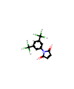 O=C1C=CC(=O)N1c1cc(C(F)(F)F)cc(C(F)(F)F)c1